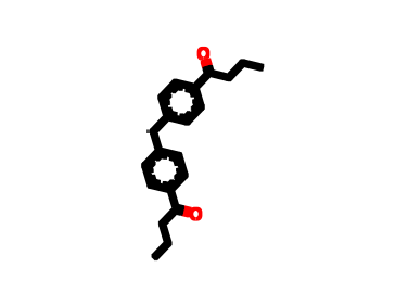 CCCC(=O)c1ccc([CH]c2ccc(C(=O)CCC)cc2)cc1